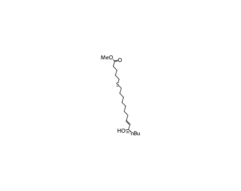 CCCC[C@@H](O)C=CCCCCCCCSCCCCC(=O)OC